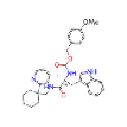 COc1ccc(COC(=O)N[C@@](C)(Cc2c[nH]c3ccccc23)C(=O)NCC2(c3ccccn3)CCCCC2)cc1